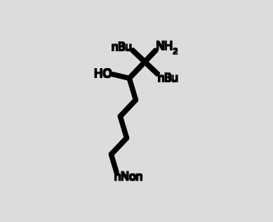 CCCCCCCCCCCCCC(O)C(N)(CCCC)CCCC